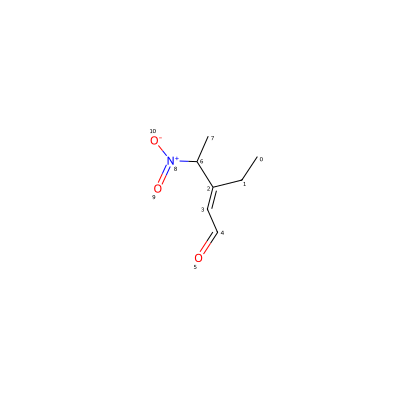 CC/C(=C\C=O)C(C)[N+](=O)[O-]